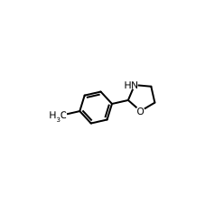 Cc1ccc(C2NCCO2)cc1